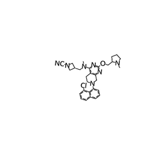 CN(CC1CN(C#N)C1)c1nc(OCC2CCCN2C)nc2c1CCN(c1cccc3cccc(Cl)c13)C2